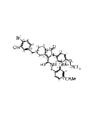 COc1ccc(CNC(=O)c2c3n(c(=O)n2-c2ccc(OCC(F)(F)F)cc2)CCN(Cc2ccc(Br)c(Cl)c2)C3)c(OC)c1